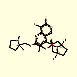 CN1CCC[C@@]1(C)COc1nc(N2C[C@H]3CC[C@@H](C2)N3C(=O)OC(C)(C)C)c2cnc(Cl)c(F)c2n1